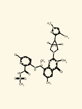 Cc1cc([C@@H](C)Nc2ccc(Cl)nc2C(=O)NS(C)(=O)=O)c2nc(N3C[C@@H]4C(c5nn(C)cc5C)[C@@H]4C3)n(C)c(=O)c2c1